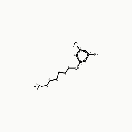 [CH2]c1cc(F)cc(OCCCCCCC)c1